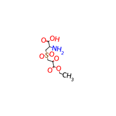 CCOC(=O)C(=O)CS(=O)(=O)CC(N)C(=O)O